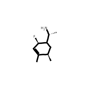 CC1=C[C@@H](F)C([C@@H](C)N)C[C@H]1C